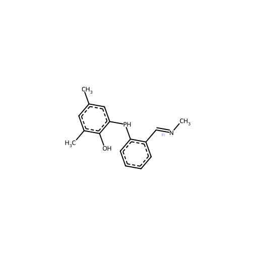 C/N=C/c1ccccc1Pc1cc(C)cc(C)c1O